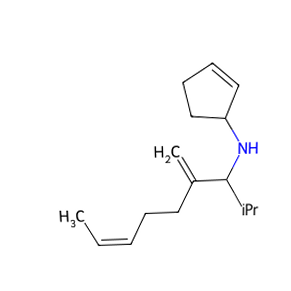 C=C(CC/C=C\C)C(NC1C=CCC1)C(C)C